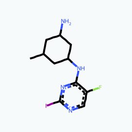 CC1CC(N)CC(Nc2nc(I)ncc2F)C1